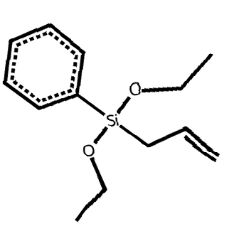 C=CC[Si](OCC)(OCC)c1ccccc1